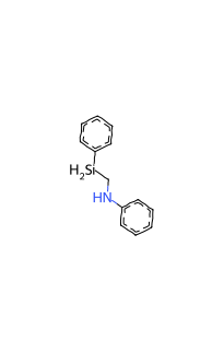 c1ccc(NC[SiH2]c2ccccc2)cc1